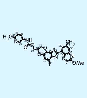 COc1cnc2c(-c3nc4c(F)cc5c(c4s3)OC[C@H](COC(=O)Nc3ccc(C)nc3)O5)cc(C)cc2n1